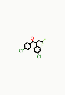 O=C(c1ccc(Cl)cc1)C(CC(F)F)c1ccc(Cl)cc1